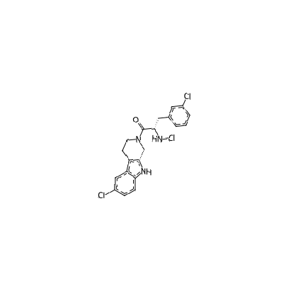 O=C([C@H](Cc1cccc(Cl)c1)NCl)N1CCc2c([nH]c3ccc(Cl)cc23)C1